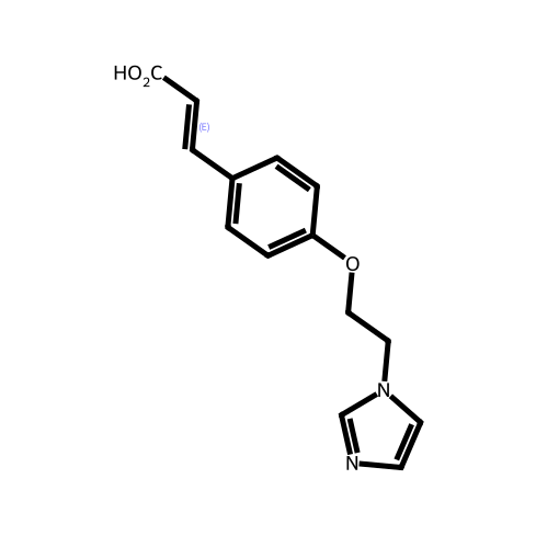 O=C(O)/C=C/c1ccc(OCCn2ccnc2)cc1